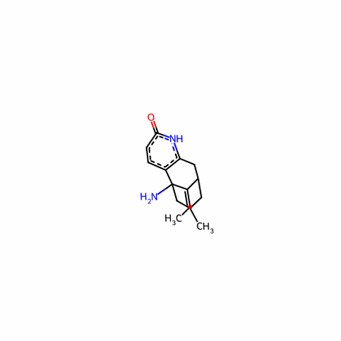 C/C=C1/C2Cc3[nH]c(=O)ccc3C1(N)CC(C)C2